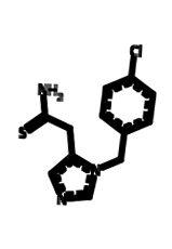 NC(=S)Cc1cncn1Cc1ccc(Cl)cc1